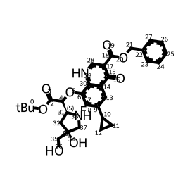 CC(C)(C)OC(=O)C(Oc1c(F)c(C2CC2)cc2c(=O)c(C(=O)OCc3ccccc3)c[nH]c12)[C@@H]1C[C@@](O)(CO)CN1